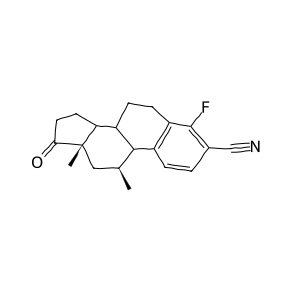 C[C@H]1C[C@]2(C)C(=O)CCC2C2CCc3c(ccc(C#N)c3F)C21